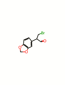 O=CC(CBr)c1ccc2c(c1)OCO2